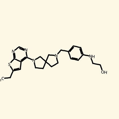 OCCNc1ccc(CN2CCC3(CCN(c4ncnc5sc(CC(F)(F)F)cc45)C3)C2)cc1